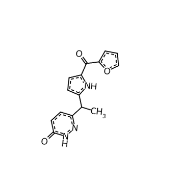 CC(c1ccc(=O)[nH]n1)c1ccc(C(=O)c2ccco2)[nH]1